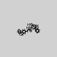 O=C(/C=C/c1ccc2c(c1)COC21CCOC1)N[C@@H](Cc1coc2ccccc12)B(O)O